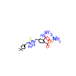 CC(C)(C)c1ccc(CNC(=S)NCc2ccc(C(=O)OSN)c(C(=O)NN)c2)cc1